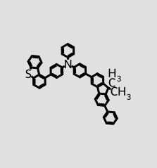 CC1(C)c2ccc(-c3ccc(N(c4ccccc4)c4ccc(-c5cccc6sc7ccccc7c56)cc4)cc3)cc2-c2ccc(-c3ccccc3)cc21